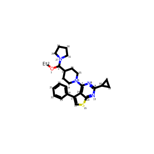 CCOC(C1CCN(c2nc(C3CC3)nc3scc(-c4ccccc4)c23)CC1)N1CCCC1